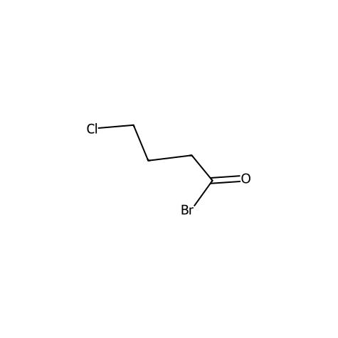 O=C(Br)CCCCl